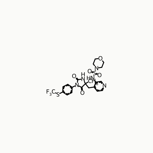 CC1(Cc2ccncc2NS(=O)(=O)N2CCOCC2)NC(=O)N(c2ccc(SC(F)(F)F)cc2)C1=O